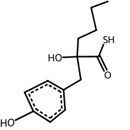 CCCCC(O)(Cc1ccc(O)cc1)C(=O)S